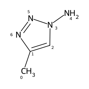 Cc1cn(N)nn1